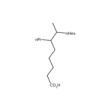 CCCCCCC(C)C(CCC)CCCCC(=O)O